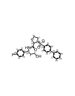 O=C(N[C@@H](CCO)c1ccc(F)cc1)C1SCCN1S(=O)(=O)c1ccc(-c2ccccc2)cc1